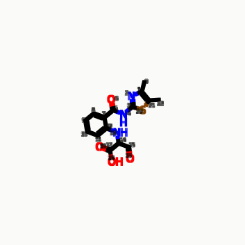 Cc1nc(NC(=O)c2ccccc2NC(C=O)C(=O)O)sc1C